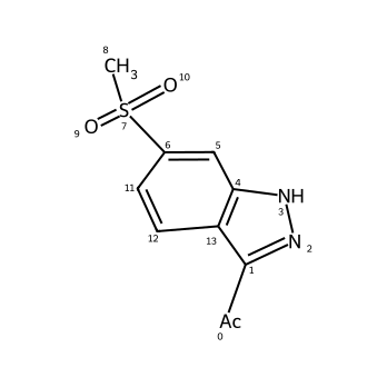 CC(=O)c1n[nH]c2cc(S(C)(=O)=O)ccc12